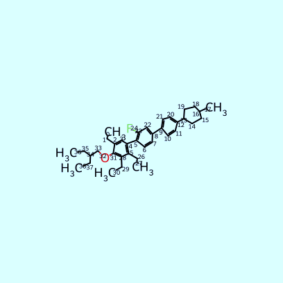 CCc1cc(-c2ccc(-c3ccc(C4CCC(C)CC4)cc3)cc2F)c(CC)c(CC)c1OCC(CC)CC